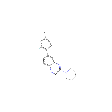 Cc1ccc(-c2ccc3ncc(N4CCCCC4)nc3c2)c(F)c1